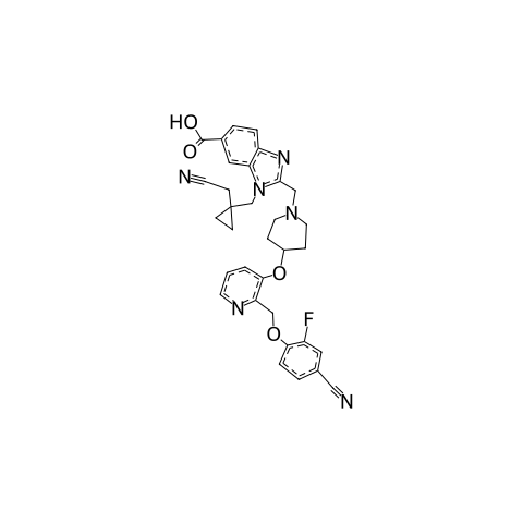 N#CCC1(Cn2c(CN3CCC(Oc4cccnc4COc4ccc(C#N)cc4F)CC3)nc3ccc(C(=O)O)cc32)CC1